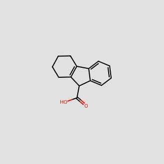 O=C(O)C1C2=C(CCCC2)c2ccccc21